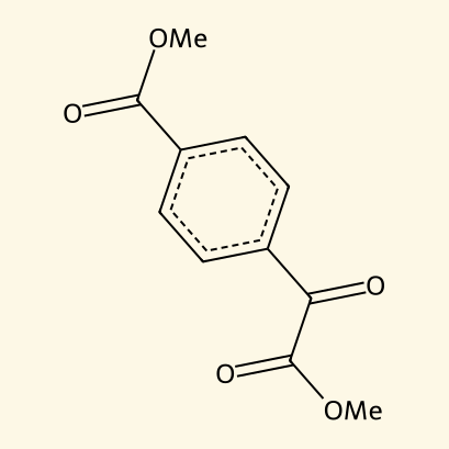 COC(=O)C(=O)c1ccc(C(=O)OC)cc1